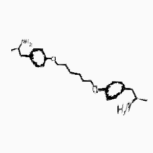 C[C@@H](N)Cc1ccc(OCCCCCCOc2ccc(C[C@@H](C)N)cc2)cc1